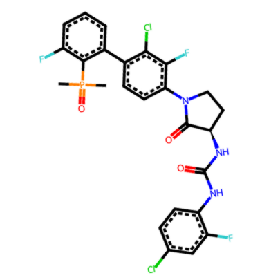 CP(C)(=O)c1c(F)cccc1-c1ccc(N2CC[C@@H](NC(=O)Nc3ccc(Cl)cc3F)C2=O)c(F)c1Cl